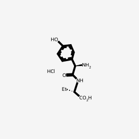 CC[C@H](NC(=O)[C@H](N)c1ccc(O)cc1)C(=O)O.Cl